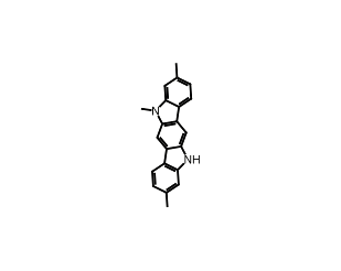 Cc1ccc2c(c1)[nH]c1cc3c4ccc(C)cc4n(C)c3cc12